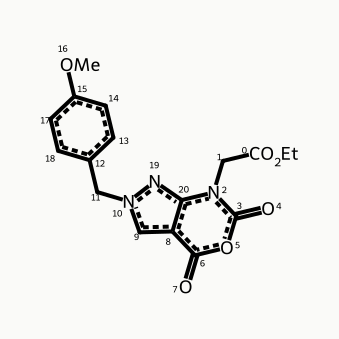 CCOC(=O)Cn1c(=O)oc(=O)c2cn(Cc3ccc(OC)cc3)nc21